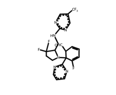 O=CC1C=CC=C(F)C1(c1ncccn1)N1CCC(F)(F)C1CNc1ncc(C(F)(F)F)cn1